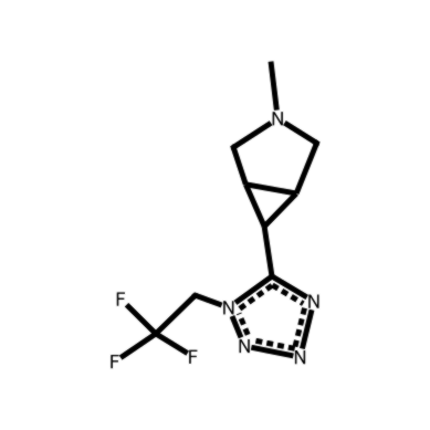 CN1CC2C(C1)C2c1nnnn1CC(F)(F)F